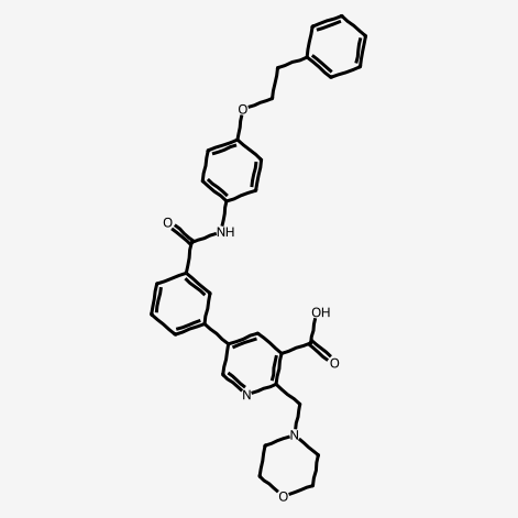 O=C(Nc1ccc(OCCc2ccccc2)cc1)c1cccc(-c2cnc(CN3CCOCC3)c(C(=O)O)c2)c1